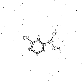 C[S+]([O-])c1ccnc(Cl)n1